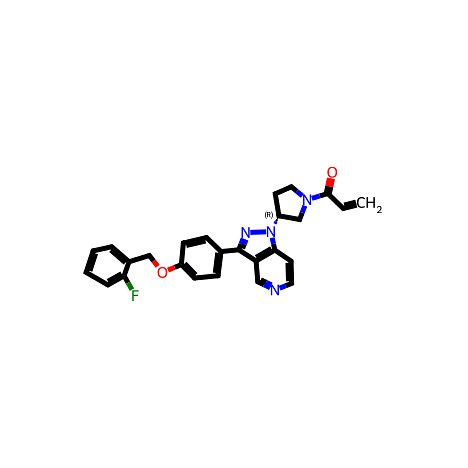 C=CC(=O)N1CC[C@@H](n2nc(-c3ccc(OCc4ccccc4F)cc3)c3cnccc32)C1